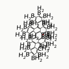 Bc1c(B)c(B)c(-c2c3c(B)c(B)c(B)c(B)c3c(-c3c(B)c(B)c(-c4c(B)c(B)c(B)c(B)c4C)c4c(B)c(B)c(B)c(B)c34)c3c(B)c(B)c(B)c(B)c23)c(B)c1B